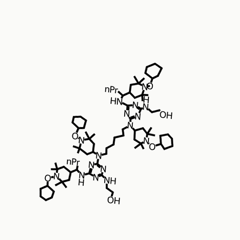 CCCC(Nc1nc(NCCO)nc(N(CCCCCCN(c2nc(NCCO)nc(NC(CCC)C3CC(C)(C)N(OC4CCCCC4)C(C)(C)C3)n2)C2CC(C)(C)N(OC3CCCCC3)C(C)(C)C2)C2CC(C)(C)N(OC3CCCCC3)C(C)(C)C2)n1)C1CC(C)(C)N(OC2CCCCC2)C(C)(C)C1